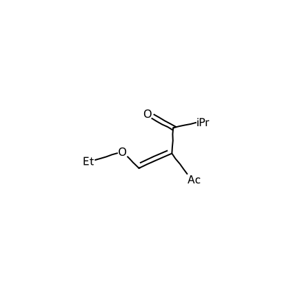 CCOC=C(C(C)=O)C(=O)C(C)C